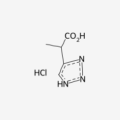 CC(C(=O)O)c1c[nH]nn1.Cl